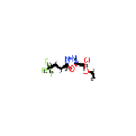 CCOC(=O)c1nnc(CCC(F)(F)F)o1